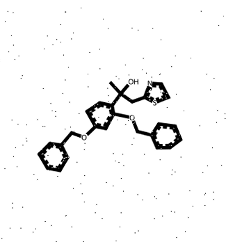 CC(O)(Cc1nccs1)c1ccc(OCc2ccccc2)cc1OCc1ccccc1